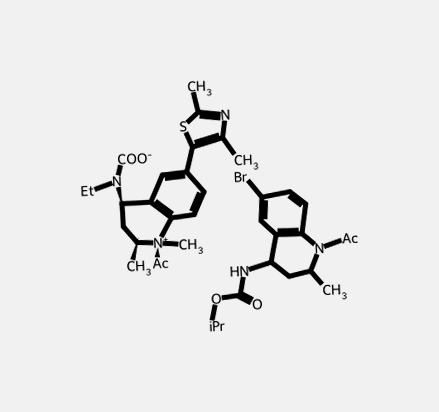 CC(=O)N1c2ccc(Br)cc2C(NC(=O)OC(C)C)CC1C.CCN(C(=O)[O-])[C@@H]1C[C@H](C)[N@+](C)(C(C)=O)c2ccc(-c3sc(C)nc3C)cc21